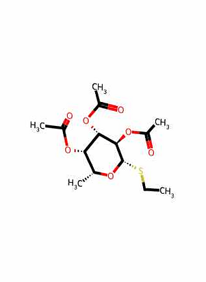 CCS[C@@H]1O[C@H](C)[C@H](OC(C)=O)[C@H](OC(C)=O)[C@H]1OC(C)=O